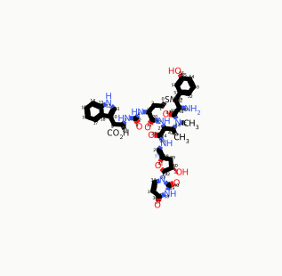 CSCCC(NC(=O)NC(Cc1c[nH]c2ccccc12)C(=O)O)C(=O)NC(C(=O)N/C=C1\C[C@@H](O)[C@H](n2ccc(=O)[nH]c2=O)O1)C(C)N(C)C(=O)C(N)Cc1cccc(O)c1